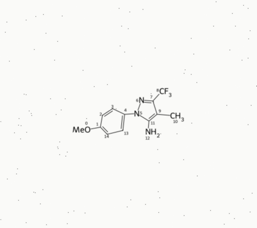 COc1ccc(-n2nc(C(F)(F)F)c(C)c2N)cc1